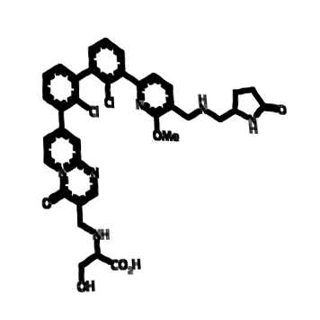 COc1nc(-c2cccc(-c3cccc(-c4ccn5c(=O)c(CNC(CO)C(=O)O)cnc5c4)c3Cl)c2Cl)ccc1CNCC1CCC(=O)N1